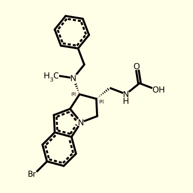 CN(Cc1ccccc1)[C@H]1c2cc3cc(Br)ccc3n2C[C@H]1CNC(=O)O